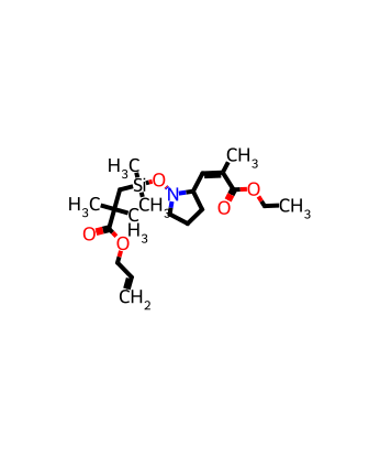 C=CCOC(=O)C(C)(C)C[Si](C)(C)ON1CCCC1C=C(C)C(=O)OCC